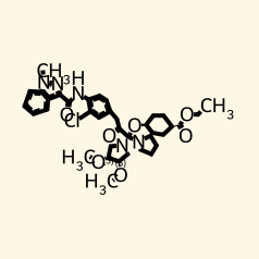 CCOC(=O)[C@H]1CC[C@H](OC(C(=O)Cc2ccc(NC(=O)c3nn(C)c4ccccc34)c(Cl)c2)(N2CCCC2)N2C[C@H](OC)[C@@H](OC)C2)CC1